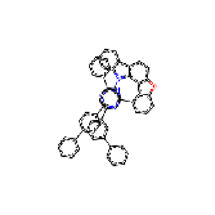 c1ccc(-c2ccc(-c3nc(-c4ccccc4)nc(-c4cccc5oc6ccc7c8ccccc8n(-c8ccc(-c9cccc(-c%10ccccc%10)c9)cc8)c7c6c45)n3)cc2)cc1